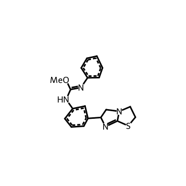 COC(=Nc1ccccc1)Nc1cccc(C2CN3CCSC3=N2)c1